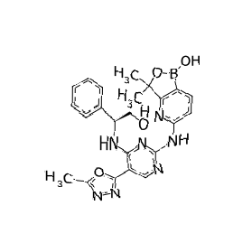 Cc1nnc(-c2cnc(Nc3ccc4c(n3)C(C)(C)OB4O)nc2N[C@H](CO)c2ccccc2)o1